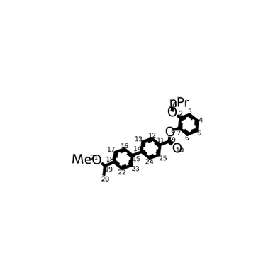 CCCOc1ccccc1OC(=O)c1ccc(-c2ccc(C(C)OC)cc2)cc1